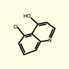 Oc1ccnc2cccc(Cl)c12